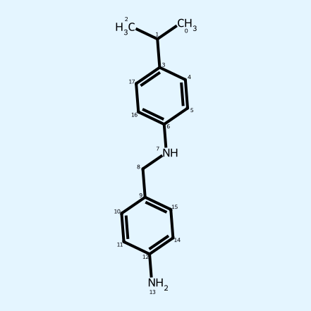 CC(C)c1ccc(NCc2ccc(N)cc2)cc1